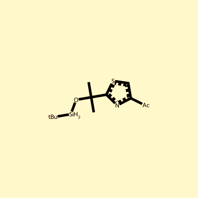 CC(=O)c1csc(C(C)(C)O[SiH2]C(C)(C)C)n1